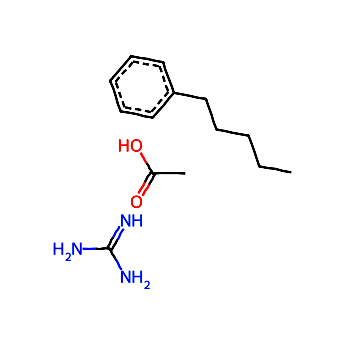 CC(=O)O.CCCCCc1ccccc1.N=C(N)N